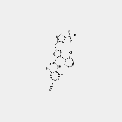 Cc1cc(C#N)cc(Br)c1NC(=O)c1cc(Cn2nnc(C(F)(F)F)n2)nn1-c1ncccc1Cl